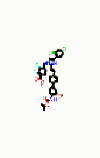 COC(=O)c1ccc(Cn2cc(-c3ccc(Cl)cc3Cl)nc2C=Cc2ccc(-c3ccc(NC(=O)OC(C)C)c(OC)c3)cc2)c(F)c1F